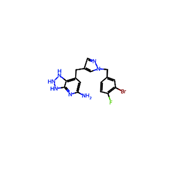 Nc1cc(Cc2cnn(Cc3ccc(F)c(Br)c3)c2)c2c(n1)NNN2